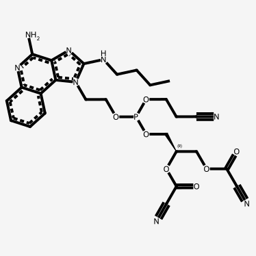 CCCCNc1nc2c(N)nc3ccccc3c2n1CCOP(OCCC#N)OC[C@@H](COC(=O)C#N)OC(=O)C#N